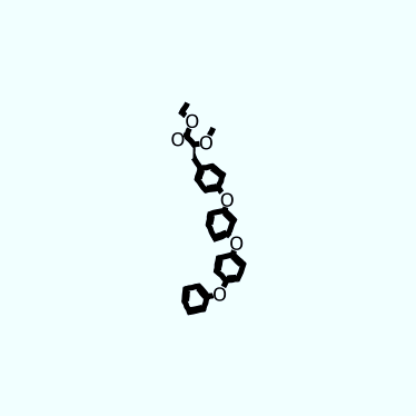 CCOC(=O)[C@H](Cc1ccc(Oc2cccc(Oc3ccc(Oc4ccccc4)cc3)c2)cc1)OC